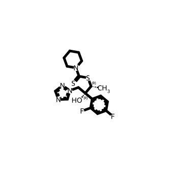 C[C@@H](SC(=S)N1CCCCC1)[C@](O)(Cn1cncn1)c1ccc(F)cc1F